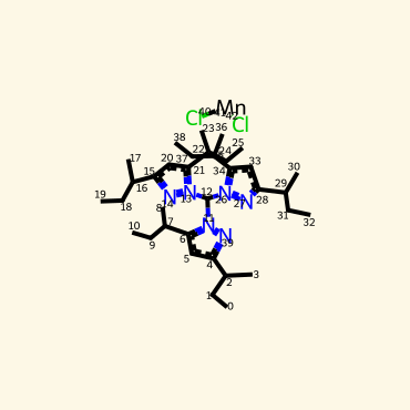 CCC(C)c1cc(C(C)CC)n(C(n2nc(C(C)CC)cc2C(C)CC)n2nc(C(C)CC)cc2C(C)CC)n1.[Cl][Mn][Cl]